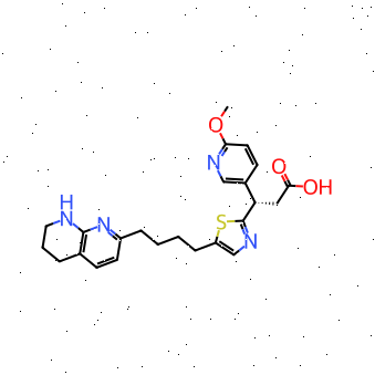 COc1ccc([C@H](CC(=O)O)c2ncc(CCCCc3ccc4c(n3)NCCC4)s2)cn1